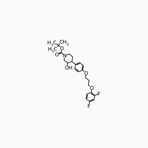 CC(C)(C)OC(=O)N1CCC(c2ccc(OCCCOc3ccc(F)cc3F)cc2)C(O)C1